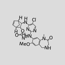 COc1cc2c(cc1Nc1ncc(Cl)c(N[C@H]3[C@@H](OC(N)=O)[C@@H]4C=C[C@H]3C4)n1)N(C)C(=O)CNC2